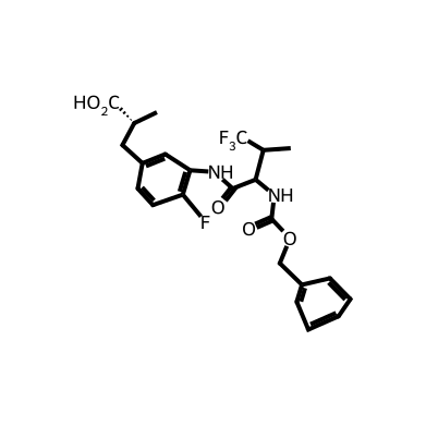 CC(C(NC(=O)OCc1ccccc1)C(=O)Nc1cc(C[C@@H](C)C(=O)O)ccc1F)C(F)(F)F